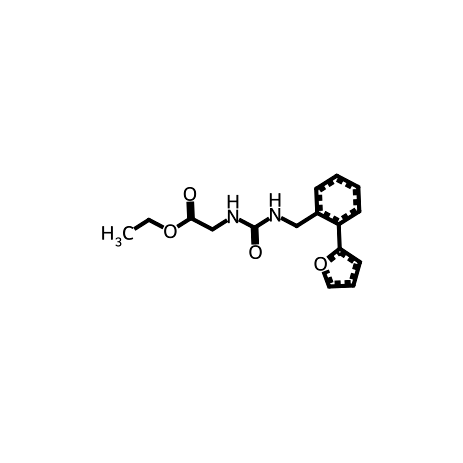 CCOC(=O)CNC(=O)NCc1ccccc1-c1ccco1